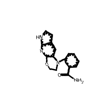 NC(=O)c1ccccc1N1CCOc2nc3[nH]ccc3cc21